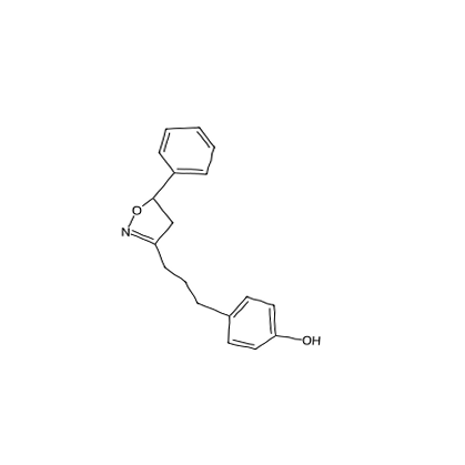 Oc1ccc(CCCC2=NOC(c3ccccc3)C2)cc1